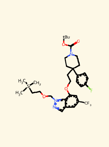 CC(C)(C)OC(=O)N1CCC(CCOc2cc(C(F)(F)F)cc3cnn(COCC[Si](C)(C)C)c23)(c2ccc(F)cc2)CC1